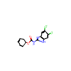 O=C(Nc1nc2cc(Cl)c(Cl)cc2[nH]1)OC1CCCCC1